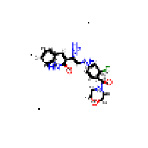 N/C(=C\Nc1ccc(C(=O)N2CCOCC2)c(F)c1)c1cc2ccccc2[nH]c1=O